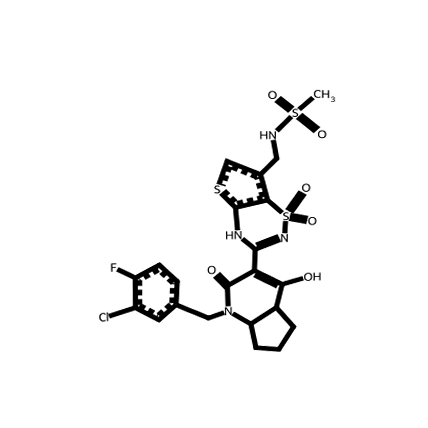 CS(=O)(=O)NCc1csc2c1S(=O)(=O)N=C(C1=C(O)C3CCCC3N(Cc3ccc(F)c(Cl)c3)C1=O)N2